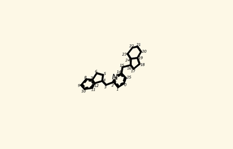 c1cc(CC2CCc3ccccc32)nc(CC2CCC3CCCCC32)c1